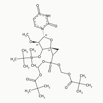 CO[C@@H]1C(O[Si](C)(C)C(C)(C)C)[C@]2(CC2P(=O)(OCOC(=O)C(C)(C)C)OCOC(=O)C(C)(C)C)O[C@H]1n1ccc(=O)[nH]c1=O